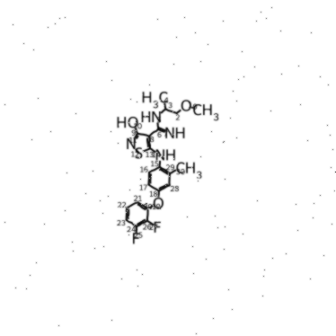 COCC(C)NC(=N)c1c(O)nsc1Nc1ccc(Oc2cccc(F)c2F)cc1C